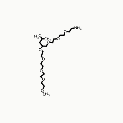 COCCOCCOCCOCCOC(COCCOCCOCCN)CC(C)C